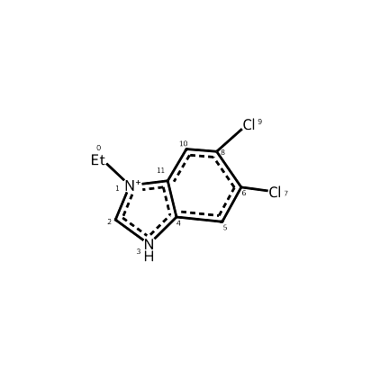 CC[n+]1c[nH]c2cc(Cl)c(Cl)cc21